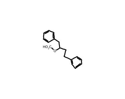 O=C(O)OC(CCc1ccccc1)Cc1ccccc1